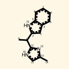 C[C](c1cc2ccccc2[nH]1)c1nc(C)c[nH]1